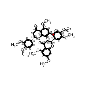 COc1cc(OC)c2c(c1)O[C@H](c1ccc(OC)c(OC)c1)[C@@H](c1c(OC)cc(OC)c3c1O[C@H](c1ccc(OC)c(OC)c1)CC3=O)C2=O